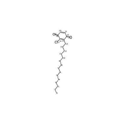 CCCCCCCCCCCCCCCC1=C(Cl)C(=O)C=CC1=O